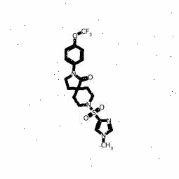 Cn1cnc(S(=O)(=O)N2CCC3(CCN(c4ccc(OC(F)(F)F)cc4)C3=O)CC2)c1